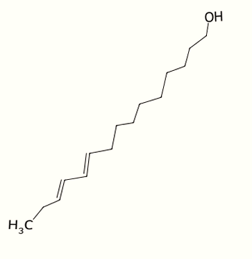 CCC=CC=CCCCCCCCCCO